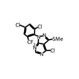 CSc1nn(-c2c(Cl)cc(Cl)cc2C(F)(F)F)c2ncnc(Cl)c12